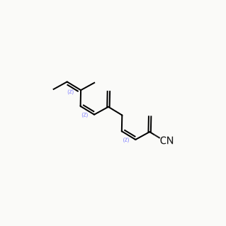 C=C(C#N)/C=C\CC(=C)/C=C\C(C)=C/C